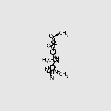 CC#CC(=O)N1CC(F)(C(=O)N2CCC(n3nnc(-c4cc(NCC)c5c(C#N)cnn5c4)c3C)CC2)C1